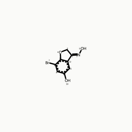 ON=C1COc2c(Br)cc(O)cc21